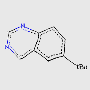 CC(C)(C)c1ccc2n[c]ncc2c1